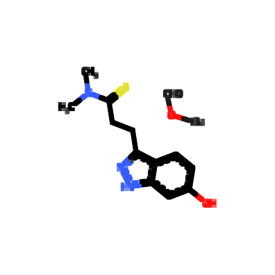 CC(C)(C)OC=O.CN(C)C(=S)CCc1n[nH]c2cc(O)ccc12